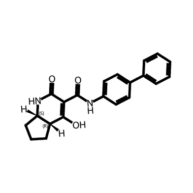 O=C(Nc1ccc(-c2ccccc2)cc1)C1=C(O)[C@@H]2CCC[C@@H]2NC1=O